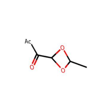 CC(=O)C(=O)C1OC(C)O1